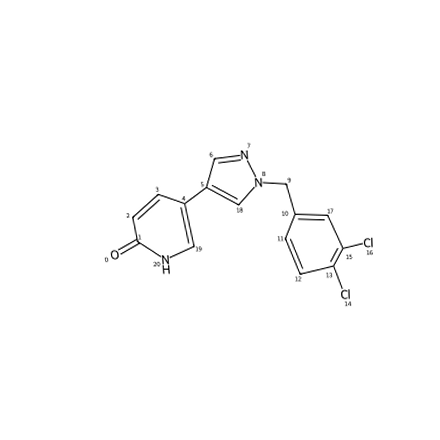 O=c1ccc(-c2cnn(Cc3ccc(Cl)c(Cl)c3)c2)c[nH]1